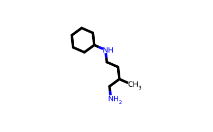 CC(CN)CCNC1CCCCC1